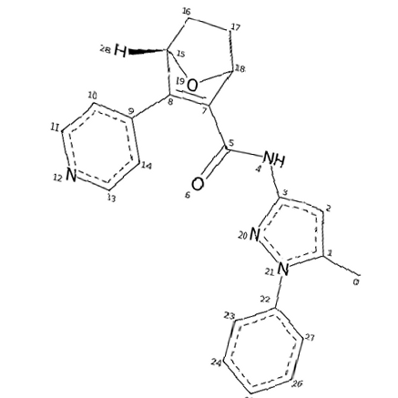 Cc1cc(NC(=O)C2=C(c3ccncc3)[C@@H]3CCC2O3)nn1-c1ccccc1